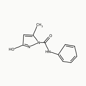 Cc1cc(O)nn1C(=O)Nc1ccccc1